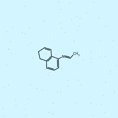 CC=Nc1cccc2c1C=CCC2